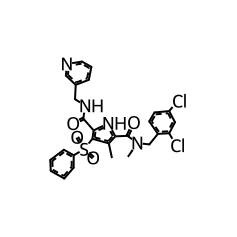 Cc1c(C(=O)N(C)Cc2ccc(Cl)cc2Cl)[nH]c(C(=O)NCc2cccnc2)c1S(=O)(=O)c1ccccc1